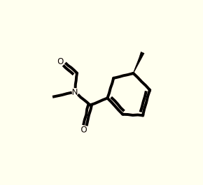 C[C@H]1C=CC=C(C(=O)N(C)C=O)C1